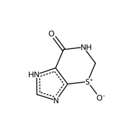 O=C1NC[S+]([O-])c2nc[nH]c21